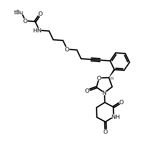 CC(C)(C)OC(=O)NCCCOCCC#Cc1ccccc1[C@H]1CN(C2CCC(=O)NC2=O)C(=O)O1